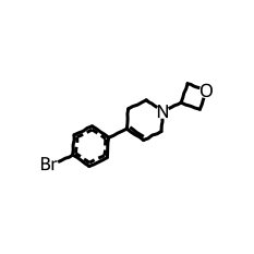 Brc1ccc(C2=CCN(C3COC3)CC2)cc1